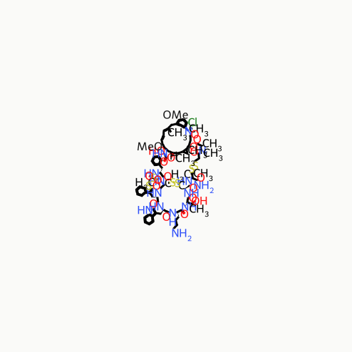 COc1cc2cc(c1Cl)N(C)C(=O)C[C@H](OC(=O)[C@H](C)N(C)C(=O)CCSSC(C)(C)[C@H](NC(=O)[C@@H]1CSSC[C@H](NC(=O)[C@@H](Cc3ccccc3)NS(C)(=O)=O)C(=O)N[C@@H](Cc3csc4ccccc34)C(=O)N[C@H](Cc3c[nH]c4ccccc34)C(=O)N[C@@H](CCCCN)C(=O)N[C@@H]([C@@H](C)O)C(=O)N1)C(N)=O)[C@]1(C)CC1[C@H](C)[C@@H]1C[C@@](O)(NC(=O)O1)[C@H](OC)/C=C/C=C(\C)C2